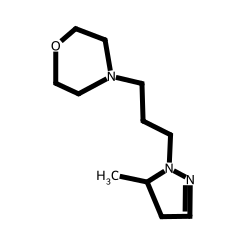 CC1CC=NN1CCCN1CCOCC1